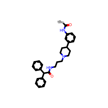 CC(C)(C)C(=O)Nc1cccc(C2CCN(CCCNC(=O)C(c3ccccc3)c3ccccc3)CC2)c1